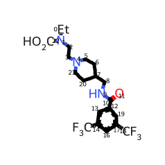 CCN(CCN1CCC(CNC(=O)c2cc(C(F)(F)F)cc(C(F)(F)F)c2)CC1)C(=O)O